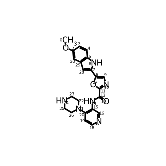 COc1ccc2[nH]c(-c3cnc(C(=O)Nc4cnccc4N4CCNCC4)o3)cc2c1